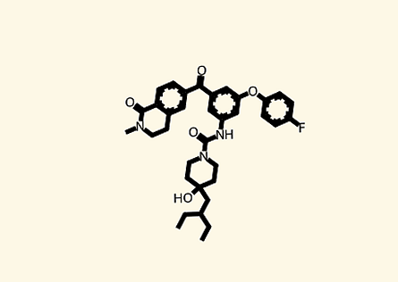 CCC(CC)CC1(O)CCN(C(=O)Nc2cc(Oc3ccc(F)cc3)cc(C(=O)c3ccc4c(c3)CCN(C)C4=O)c2)CC1